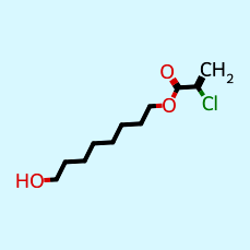 C=C(Cl)C(=O)OCCCCCCCCO